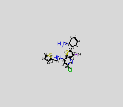 N[C@@H]1CC=CC[C@H]1c1sc2c(NCc3cccs3)cc(Cl)nc2c1I